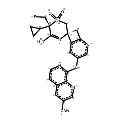 COc1cnc2c(Nc3cnc4c(c3)[C@]3(C4)CS(=O)(=O)[C@@](CF)(C4CC4)C(N)=N3)nccc2c1